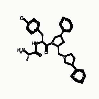 C[C@H](N)C(=O)N[C@@H](Cc1ccc(Cl)cc1)C(=O)N1C[C@@H](c2ccccc2)C[C@H]1CN1CCC(c2ccccc2)C1